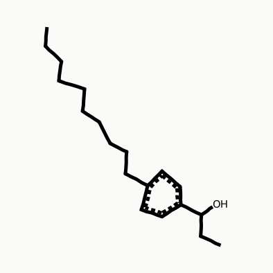 CCCCCCCCCCc1ccc(C(O)CC)cc1